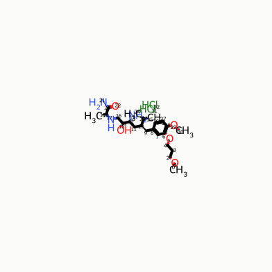 COCCCOc1cc(C[C@@H](C[C@H](N)[C@@H](O)CN[C@@H](C)C(N)=O)C(C)C)ccc1OC.Cl.Cl